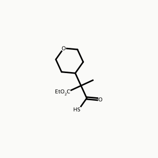 CCOC(=O)C(C)(C(=O)S)C1CCOCC1